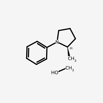 CO.C[C@@H]1CCCN1c1ccccc1